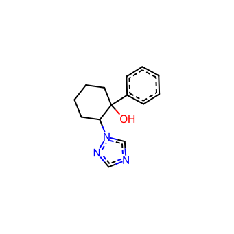 OC1(c2ccccc2)CCCCC1n1cncn1